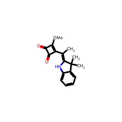 COc1c(C(C)=C2Nc3ccccc3C2(C)C)c(=O)c1=O